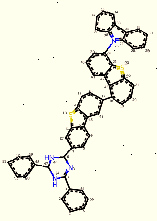 c1ccc(C2=NC(c3ccc4c(c3)sc3ccc(-c5cccc6sc7c(-n8c9ccccc9c9ccccc98)cccc7c56)cc34)NC(c3ccccc3)N2)cc1